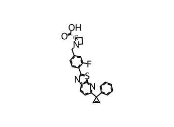 O=C(O)[C@@H]1CCN1Cc1ccc(-c2nc3ccc(C4(c5ccccc5)C=C4)nc3s2)c(F)c1